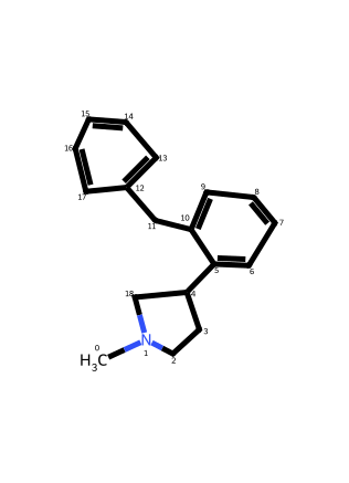 CN1CCC(c2ccccc2Cc2ccccc2)C1